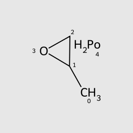 CC1CO1.[PoH2]